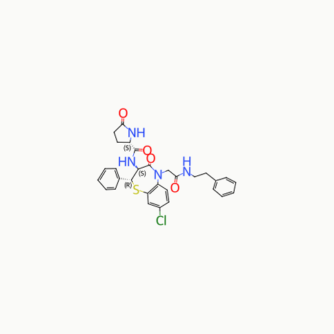 O=C(CN1C(=O)[C@H](NC(=O)[C@@H]2CCC(=O)N2)[C@@H](c2ccccc2)Sc2cc(Cl)ccc21)NCCc1ccccc1